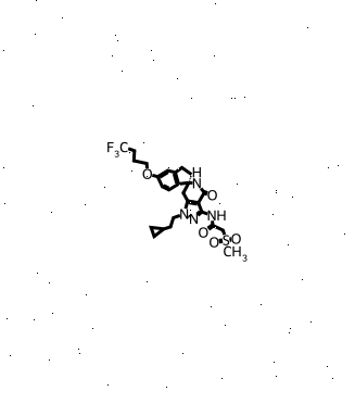 CS(=O)(=O)CC(=O)Nc1nn(CCC2CC2)c2c1C(=O)N[C@@]1(CCc3cc(OCCCC(F)(F)F)ccc31)C2